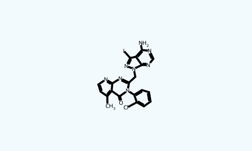 Cc1ccnc2nc(Cn3nc(I)c4c(N)ncnc43)n(-c3ccccc3Cl)c(=O)c12